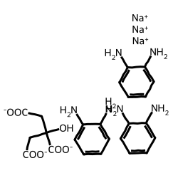 Nc1ccccc1N.Nc1ccccc1N.Nc1ccccc1N.O=C([O-])CC(O)(CC(=O)[O-])C(=O)[O-].[Na+].[Na+].[Na+]